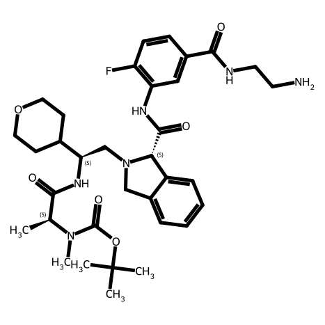 C[C@@H](C(=O)N[C@H](CN1Cc2ccccc2[C@H]1C(=O)Nc1cc(C(=O)NCCN)ccc1F)C1CCOCC1)N(C)C(=O)OC(C)(C)C